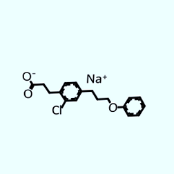 O=C([O-])CCc1ccc(CCCOc2ccccc2)cc1Cl.[Na+]